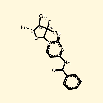 CC[C@H]1OC(n2ccc(NC(=O)c3ccccc3)nc2=O)[C@@](F)(Cl)[C@@H]1C